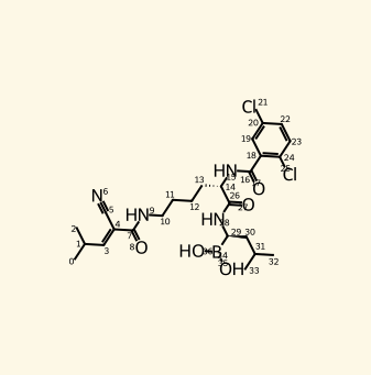 CC(C)C=C(C#N)C(=O)NCCCC[C@H](NC(=O)c1cc(Cl)ccc1Cl)C(=O)N[C@@H](CC(C)C)B(O)O